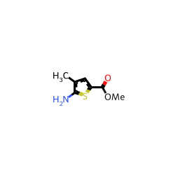 COC(=O)c1cc(C)c(N)s1